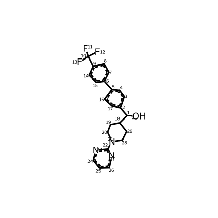 O[C@H](c1ccc(-c2ccc(C(F)(F)F)cc2)cc1)C1CCN(c2ncccn2)CC1